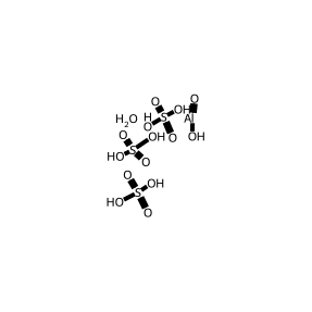 O.O=S(=O)(O)O.O=S(=O)(O)O.O=S(=O)(O)O.[O]=[Al][OH]